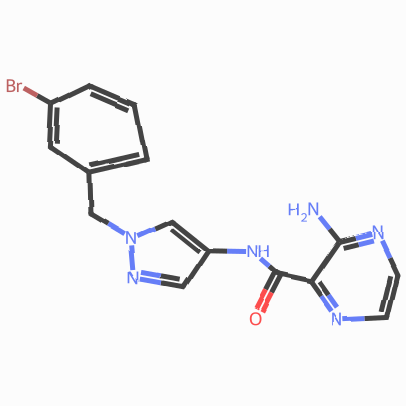 Nc1nccnc1C(=O)Nc1cnn(Cc2cccc(Br)c2)c1